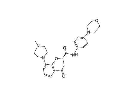 CN1CCN(c2cccc3c2O[C@@H](C(=O)Nc2ccc(N4CCOCC4)cc2)CC3=O)CC1